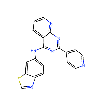 c1cnc2nc(-c3ccncc3)nc(Nc3ccc4ncsc4c3)c2c1